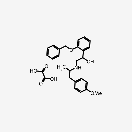 COc1ccc(CC(C)NCC(O)c2ccccc2OCc2ccccc2)cc1.O=C(O)C(=O)O